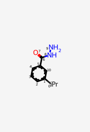 CC(C)c1cccc(C(=O)NN)c1